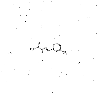 NC(=O)NN=Cc1cccc(C(F)(F)F)c1